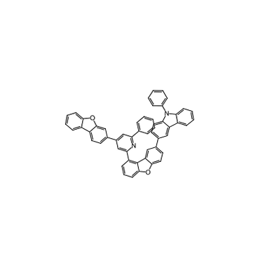 c1ccc(-c2cc(-c3ccc4c(c3)oc3ccccc34)cc(-c3cccc4oc5ccc(-c6ccc7c(c6)c6ccccc6n7-c6ccccc6)cc5c34)n2)cc1